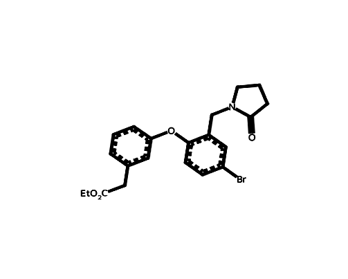 CCOC(=O)Cc1cccc(Oc2ccc(Br)cc2CN2CCCC2=O)c1